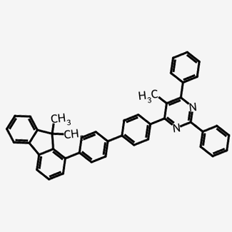 Cc1c(-c2ccccc2)nc(-c2ccccc2)nc1-c1ccc(-c2ccc(-c3cccc4c3C(C)(C)c3ccccc3-4)cc2)cc1